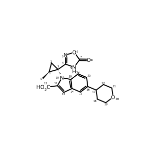 C[C@H]1C[C@]1(c1noc(=O)[nH]1)n1c(C(=O)O)cc2cc(C3CCOCC3)ccc21